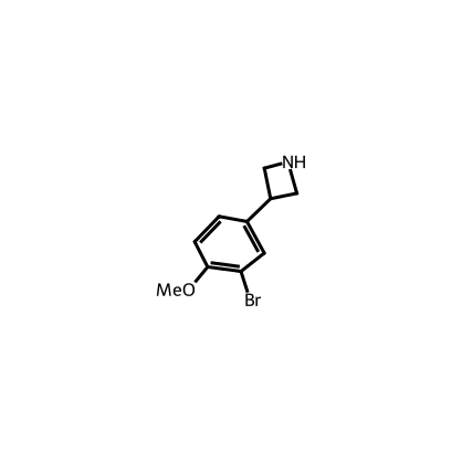 COc1ccc(C2CNC2)cc1Br